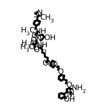 Cc1ncsc1-c1ccc(C(C)NC(=O)[C@@H]2C[C@@H](O)CN2C(=O)C(NC(=O)CCCCCC(=O)N2CCN(CCOc3cccc(CCOc4cc(-c5ccccc5O)nnc4N)c3)CC2)C(C)(C)C)cc1